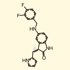 O=C1Nc2ccc(NCc3ccc(F)c(F)c3)cc2/C1=C/c1ccc[nH]1